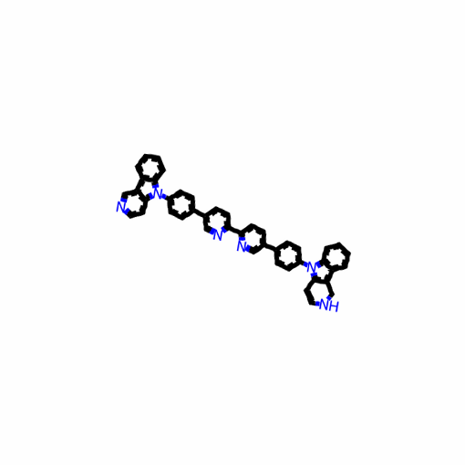 C1=Cc2c(c3ccccc3n2-c2ccc(-c3ccc(-c4ccc(-c5ccc(-n6c7ccccc7c7cnccc76)cc5)cn4)nc3)cc2)CN1